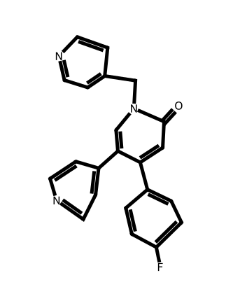 O=c1cc(-c2ccc(F)cc2)c(-c2ccncc2)cn1Cc1ccncc1